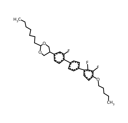 CCCCCCCC1OCC(c2ccc(-c3ccc(-c4ccc(OCCCCC)c(F)c4F)cc3)c(F)c2)CO1